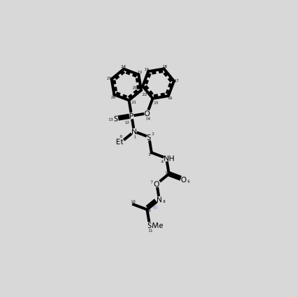 CCN(SCNC(=O)O/N=C(\C)SC)P(=S)(Oc1ccccc1)c1ccccc1